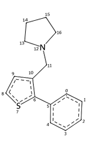 [c]1ccccc1-c1sccc1CN1CCCC1